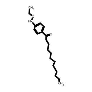 CCCCCCCCCCCC(=O)c1ccc(NOCC)cc1